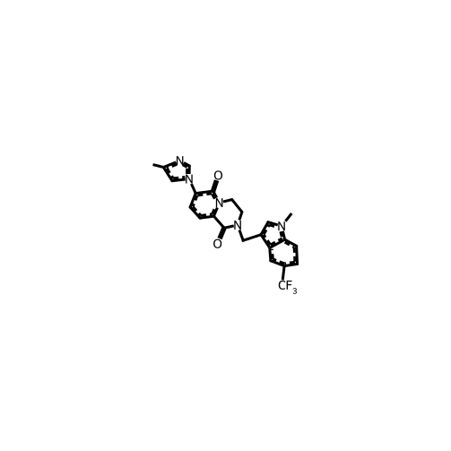 Cc1cn(-c2ccc3n(c2=O)CCN(Cc2cn(C)c4ccc(C(F)(F)F)cc24)C3=O)cn1